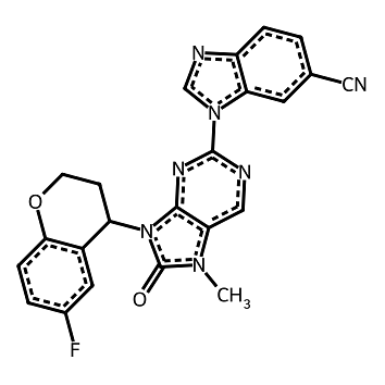 Cn1c(=O)n(C2CCOc3ccc(F)cc32)c2nc(-n3cnc4ccc(C#N)cc43)ncc21